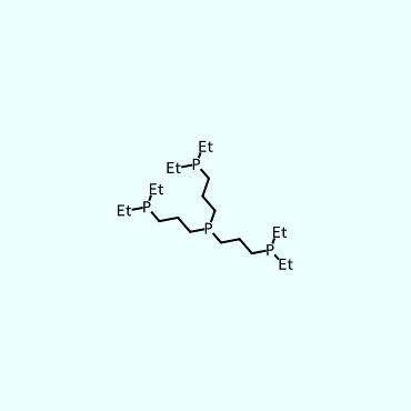 CCP(CC)CCCP(CCCP(CC)CC)CCCP(CC)CC